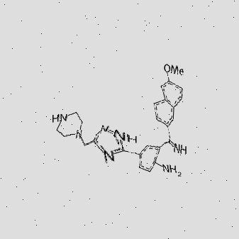 COc1ccc2cc(C(=N)c3cc(-c4nc(CN5CCNCC5)n[nH]4)ccc3N)ccc2c1